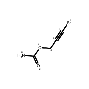 NC(=O)OCC#CBr